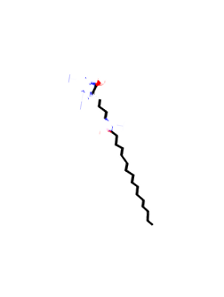 CCCCCCCCCCCCCCCC(=O)NCCCC[C@H](NC)C(N)=O